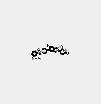 CC(=O)Nc1cccc(S(=O)(=O)N2CCC(c3cc4c(cc3F)C(=O)N(C3CCC(=O)NC3=O)C4)CC2)c1